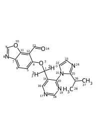 [2H]C([2H])(Oc1ccc2ncoc2c1C=O)c1cncnc1-n1ccnc1C(C)C